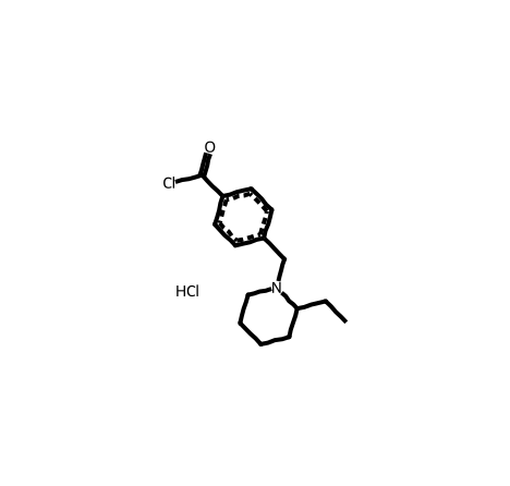 CCC1CCCCN1Cc1ccc(C(=O)Cl)cc1.Cl